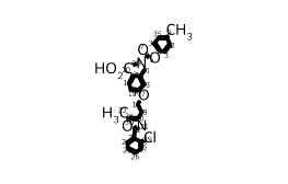 Cc1ccc(OC(=O)N(CC(=O)O)Cc2cccc(OCCc3nc(-c4ccccc4Cl)oc3C)c2)cc1